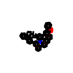 CC1(C)c2ccccc2-c2ccc(-c3cccc(N(c4ccccc4-c4ccccc4)c4cccc(-c5ccc6oc7ccccc7c6c5)c4-c4cccc5ccccc45)c3)cc21